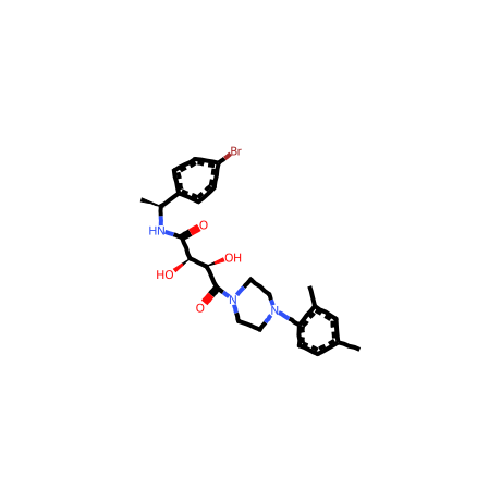 Cc1ccc(N2CCN(C(=O)[C@H](O)[C@@H](O)C(=O)N[C@@H](C)c3ccc(Br)cc3)CC2)c(C)c1